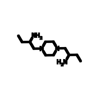 CCC(N)CN1CCN(CC(N)CC)CC1